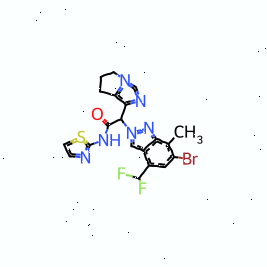 Cc1c(Br)cc(C(F)F)c2cn(C(C(=O)Nc3nccs3)c3ncn4c3CCC4)nc12